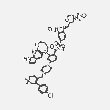 CC1(C)CCC(CN2CCN(c3ccc(C(=O)NS(=O)(=O)c4ccc(NCC5CN(P(C)(C)=O)CCO5)c([N+](=O)[O-])c4)c(N4CCCOc5nc6[nH]ccc6cc54)c3)CC2)=C(c2ccc(Cl)cc2)C1